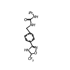 CC(C)NC(=O)NCc1ccc(C2=NOC(C(F)(F)F)N2)cc1